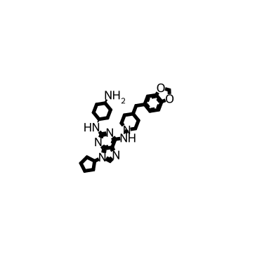 N[C@H]1CC[C@H](Nc2nc(NN3CCC(Cc4ccc5c(c4)OCO5)CC3)c3ncn(C4CCCC4)c3n2)CC1